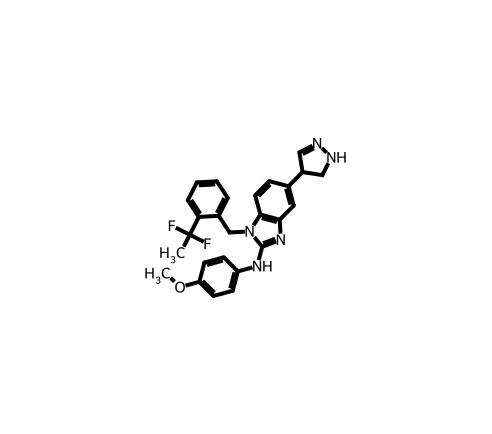 COc1ccc(Nc2nc3cc(C4C=NNC4)ccc3n2Cc2ccccc2C(C)(F)F)cc1